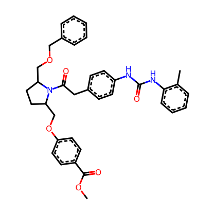 COC(=O)c1ccc(OCC2CCC(COCc3ccccc3)N2C(=O)Cc2ccc(NC(=O)Nc3ccccc3C)cc2)cc1